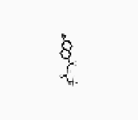 C[C@H](C(=O)OCC(=O)c1ccc2cc(Br)ccc2c1)C(C)(C)C